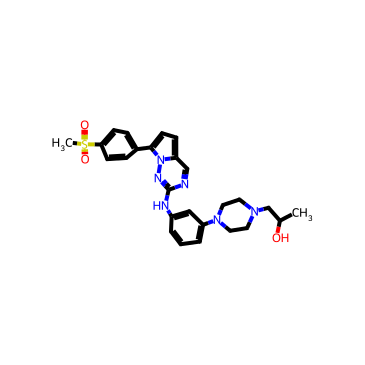 CC(O)CN1CCN(c2cccc(Nc3ncc4ccc(-c5ccc(S(C)(=O)=O)cc5)n4n3)c2)CC1